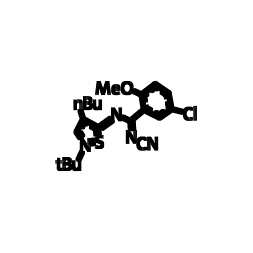 CCCCc1cn(C(C)(C)C)s/c1=N\C(=N\C#N)c1cc(Cl)ccc1OC